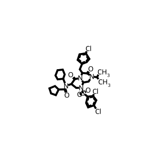 CC(C)N1CC2N(C(=O)C(N(C(=O)C3CCCC3)C3CCCCC3)CN2S(=O)(=O)c2ccc(Cl)cc2Cl)C(Cc2ccc(Cl)cc2)C1=O